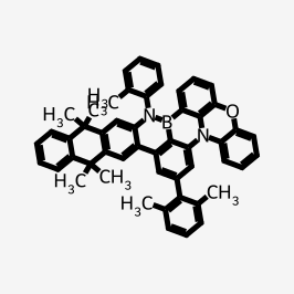 Cc1ccccc1N1B2c3cccc4c3N(c3ccccc3O4)c3cc(-c4c(C)cccc4C)cc(c32)-c2cc3c(cc21)C(C)(C)c1ccccc1C3(C)C